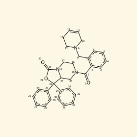 O=C(c1ccccc1CN1CC=CCC1)N1CCN2C(=O)OC(c3ccccc3)(c3ccccc3)C2C1